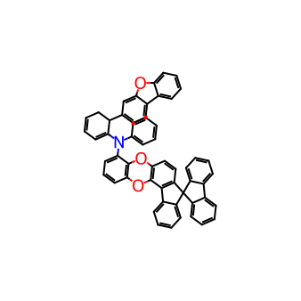 C1=CCC(c2ccc3c(c2)oc2ccccc23)C(N(c2ccccc2)c2cccc3c2Oc2ccc4c(c2O3)-c2ccccc2C42c3ccccc3-c3ccccc32)=C1